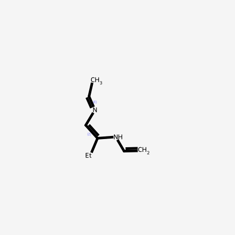 C=CN/C(=C\N=C\C)CC